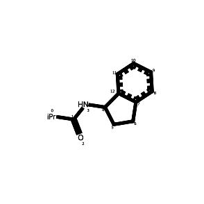 CC(C)C(=O)NC1CCc2ccccc21